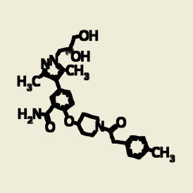 Cc1ccc(CC(=O)N2CCC(Oc3ccc(-c4c(C)nn(C[C@@H](O)CO)c4C)cc3C(N)=O)CC2)cc1